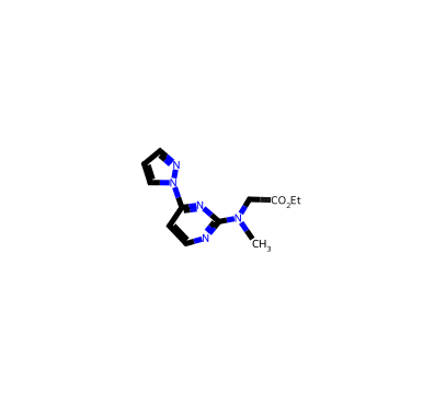 CCOC(=O)CN(C)c1nccc(-n2cccn2)n1